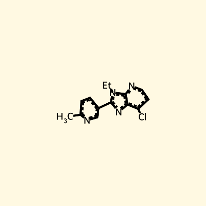 CCn1c(-c2ccc(C)nc2)nc2c(Cl)ccnc21